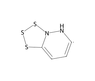 [c]1ccc2sssn-2[nH]1